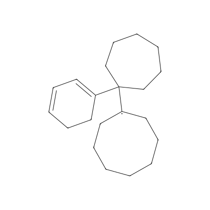 C1=CCCC(C2([C]3CCCCCCC3)CCCCCC2)=C1